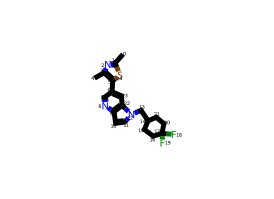 Cc1nc(C)c(-c2cnc3ccn(CC4CCC(F)(F)CC4)c3c2)s1